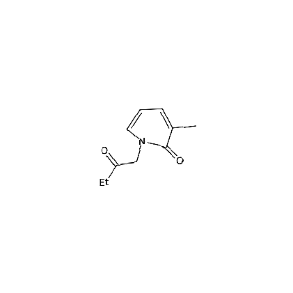 CCC(=O)Cn1cccc(C)c1=O